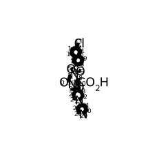 O=C1CN(S(=O)(=O)c2ccc3cc(Cl)ccc3c2)CC2(C(=O)O)OC3(CCN(c4ccncc4)CC3)CN12